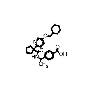 CC(NC(=O)C1(c2ccc(OCC3CCCCC3)cn2)CCCC1)c1ccc(C(=O)O)cc1